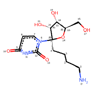 NCCCC[C@@]1(n2ccc(=O)[nH]c2=O)O[C@H](CO)[C@@H](O)[C@H]1O